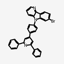 Brc1ccc2c3ncccc3n(-c3ccc(-c4cc(-c5ccccc5)nc(-c5ccccc5)c4)cc3)c2c1